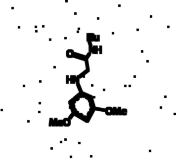 CCC(C)NC(=O)CNc1cc(OC)cc(OC)c1